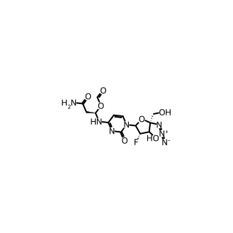 [N-]=[N+]=N[C@]1(CO)OC(n2ccc(N[C@@H](CC(N)=O)OC=O)nc2=O)[C@@H](F)C1O